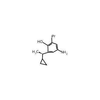 CC(C)c1cc(N)cc([C@H](C)C2CC2)c1O